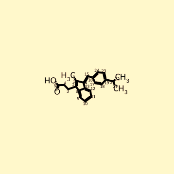 CC1=C(CCC(=O)O)c2ccccc2/C1=C\c1ccc(C(C)C)cc1